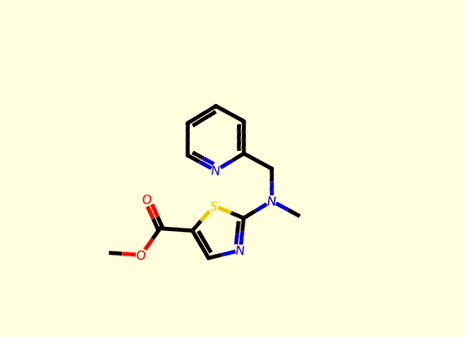 COC(=O)c1cnc(N(C)Cc2ccccn2)s1